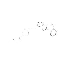 CC(C)(C)OC(=O)N1CCN(CCc2csc3nc(-c4ccccc4[N+](=O)[O-])cn23)CC1